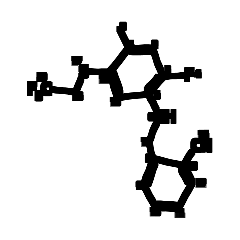 Cc1cc(F)c(NCc2ccccc2C#N)cc1SCC(F)(F)F